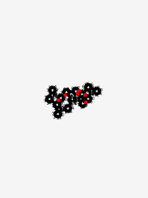 c1ccc(-c2ccccc2-c2cc(-c3cccc(-n4c5ccccc5c5cc(-c6cccc7c8ccccc8n(-c8ccccc8)c67)ccc54)c3)nc(-n3c4ccccc4c4cc(-c5cccc6c7ccccc7n(-c7ccccc7)c56)ccc43)n2)cc1